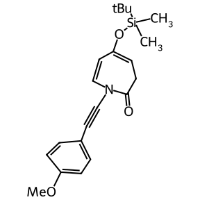 COc1ccc(C#CN2C=CC(O[Si](C)(C)C(C)(C)C)=CCC2=O)cc1